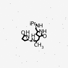 CC(C)NCC1CC(CC(C)NC[C@@H]2CCC(=O)N2)C(=O)N1